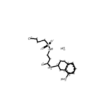 CCC(CCNS(=O)(=O)CCCCl)NC1CCc2cccc(OC)c2C1.Cl